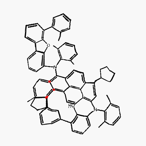 Cc1ccccc1-c1cccc(-c2cccc(N(c3c(C)cccc3C)c3cc(C4CCCC4)c4ccc5c(N(c6c(C)cccc6C)c6cccc7c6oc6c(-c8ccccc8C)cccc67)cc(C6CCCC6)c6ccc3c4c65)c2O)c1